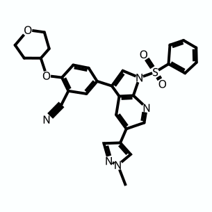 Cn1cc(-c2cnc3c(c2)c(-c2ccc(OC4CCOCC4)c(C#N)c2)cn3S(=O)(=O)c2ccccc2)cn1